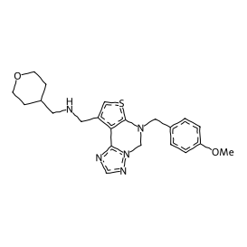 COc1ccc(CN2Cn3ncnc3-c3c(CNCC4CCOCC4)csc32)cc1